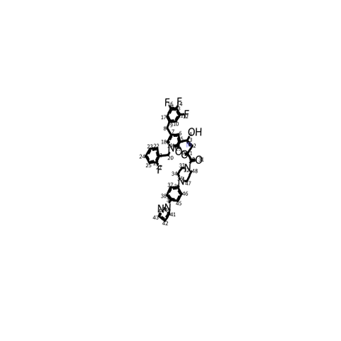 O=C(/C=C(/O)c1cc(Cc2cc(F)c(F)c(F)c2)cn(Cc2ccccc2F)c1=O)C(=O)N1CCN(c2ccc(-n3cccn3)cc2)CC1